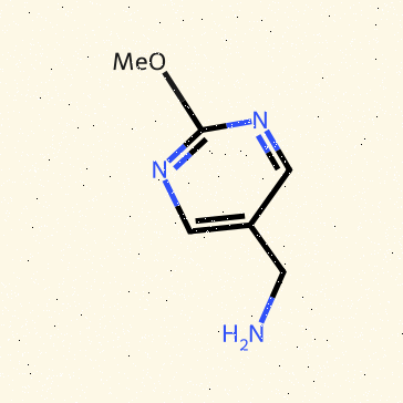 COc1ncc(CN)cn1